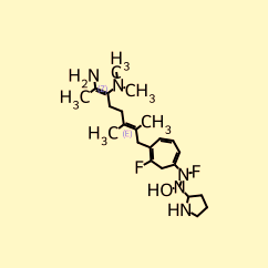 C/C(N)=C(\CC/C(C)=C(\C)CC1=C(F)CC(N(F)N(O)C2CCCN2)=CC=C1)N(C)C